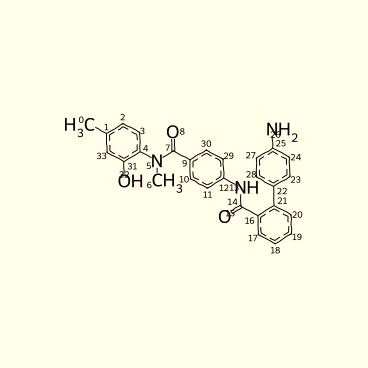 Cc1ccc(N(C)C(=O)c2ccc(NC(=O)c3ccccc3-c3ccc(N)cc3)cc2)c(O)c1